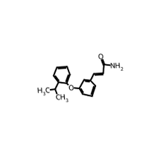 CC(C)c1ccccc1Oc1cccc(C=CC(N)=O)c1